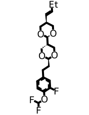 CC/C=C/[C@H]1CO[C@H]([C@H]2CO[C@H](CCc3ccc(OC(F)F)c(F)c3)OC2)OC1